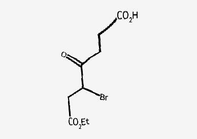 CCOC(=O)CC(Br)C(=O)CCC(=O)O